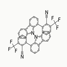 N#Cc1c(-c2cccc3c4ccccc4n(-n4c5ccccc5c5cccc(-c6cccc(C(F)(F)F)c6C#N)c54)c23)cccc1C(F)(F)F